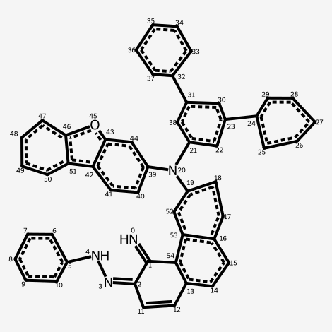 N=C1/C(=N\Nc2ccccc2)C=Cc2ccc3ccc(N(c4cc(-c5ccccc5)cc(-c5ccccc5)c4)c4ccc5c(c4)oc4ccccc45)cc3c21